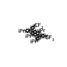 CC(C)c1ccc(N(c2ccc(CC(F)(F)F)cc2)c2cc(C(C)C)c3ccc4c(N(c5ccc(CC(F)(F)F)cc5)c5ccc(C(C)C)cc5)cc(C(C)C)c5ccc2c3c54)cc1